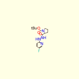 CC(C)(C)OC(=O)N1CCC[C@@]1(C)C(=O)NNc1ccc(F)cn1